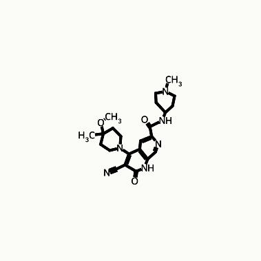 COC1(C)CCN(c2c(C#N)c(=O)[nH]c3cnc(C(=O)NC4CCN(C)CC4)cc23)CC1